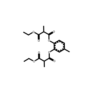 CCOC(=O)C(C)C(=O)Oc1ccc(C)cc1OC(=O)C(C)C(=O)OCC